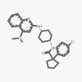 CN(C)c1cc(N[C@H]2CC[C@@H](NC(=O)C3(c4ccc(Cl)cc4)CCCC3)CC2)nc2ccccc12